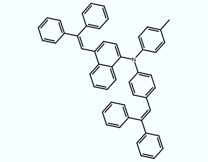 Cc1ccc(N(c2ccc(C=C(c3ccccc3)c3ccccc3)cc2)c2ccc(C=C(c3ccccc3)c3ccccc3)c3ccccc23)cc1